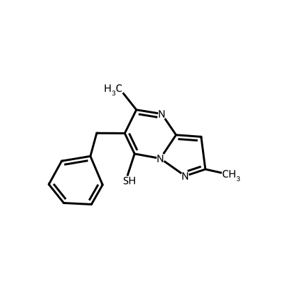 Cc1cc2nc(C)c(Cc3ccccc3)c(S)n2n1